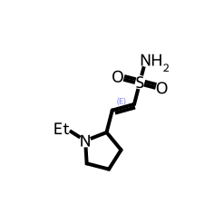 CCN1CCCC1/C=C/S(N)(=O)=O